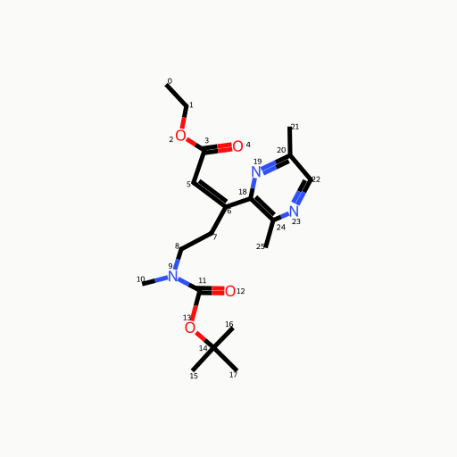 CCOC(=O)/C=C(/CCN(C)C(=O)OC(C)(C)C)c1nc(C)cnc1C